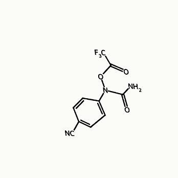 N#Cc1ccc(N(OC(=O)C(F)(F)F)C(N)=O)cc1